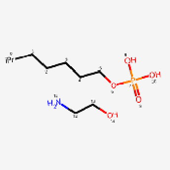 CC(C)CCCCCOP(=O)(O)O.NCCO